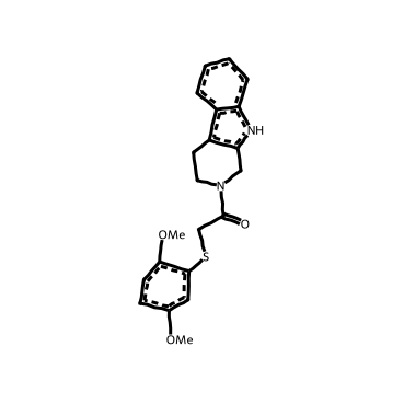 COc1ccc(OC)c(SCC(=O)N2CCc3c([nH]c4ccccc34)C2)c1